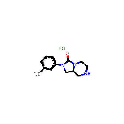 Cl.O=C1N(c2cccc(C(F)(F)F)c2)CC2CNCCN12